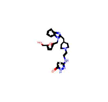 O=c1ccc(NCCN2CCC(Cc3nc4ccccc4n3Cc3ccc(CO)o3)CC2)n[nH]1